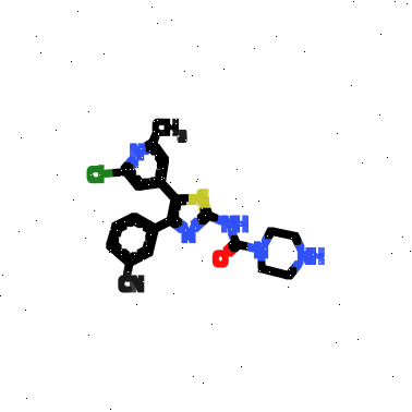 Cc1cc(-c2sc(NC(=O)N3CCNCC3)nc2-c2cccc(C#N)c2)cc(Cl)n1